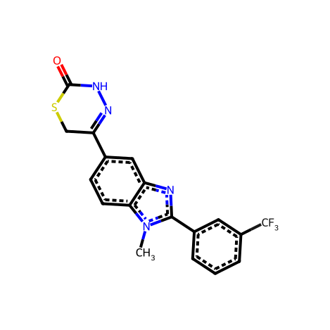 Cn1c(-c2cccc(C(F)(F)F)c2)nc2cc(C3=NNC(=O)SC3)ccc21